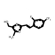 Cc1oc(/C=C/c2ccc(C(F)(F)F)cc2F)nc1CO